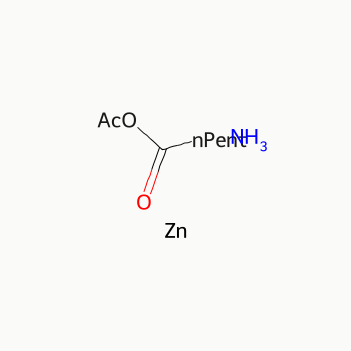 CCCCCC(=O)OC(C)=O.N.[Zn]